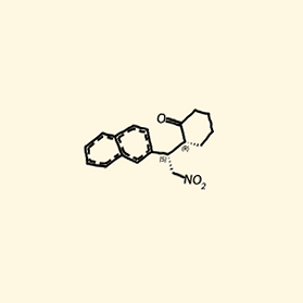 O=C1CCCC[C@@H]1[C@H](C[N+](=O)[O-])c1ccc2ccccc2c1